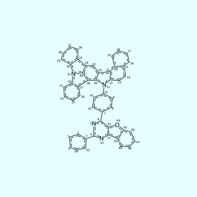 c1ccc(-c2nc(-c3ccc(-n4c5ccc6ccccc6c5c5cc6c7ccccc7n7c8ccccc8c(c54)c67)cc3)c3oc4ccccc4c3n2)cc1